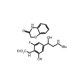 CCOC(=O)Nc1c(F)cc(C(O)CNC(C)(C)C)cc1C#N.O=C1COc2ccccc2N1